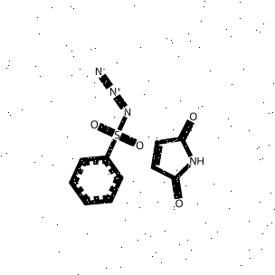 O=C1C=CC(=O)N1.[N-]=[N+]=NS(=O)(=O)c1ccccc1